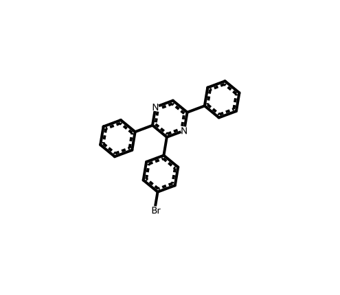 Brc1ccc(-c2nc(-c3ccccc3)cnc2-c2ccccc2)cc1